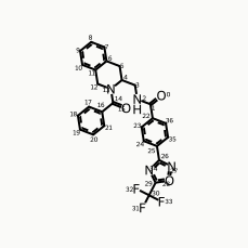 O=C(NCC1Cc2ccccc2CN1C(=O)c1ccccc1)c1ccc(-c2noc(C(F)(F)F)n2)cc1